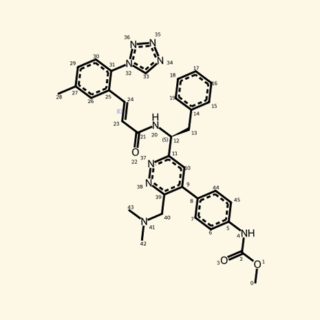 COC(=O)Nc1ccc(-c2cc([C@H](Cc3ccccc3)NC(=O)/C=C/c3cc(C)ccc3-n3cnnn3)nnc2CN(C)C)cc1